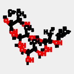 CC(O)C(=O)O.CC(O)C(=O)O.CC(O)C(=O)O.CC(O)C(=O)O.[Co].[Co].[Co].[Co]